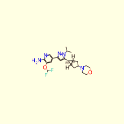 CC(C)n1nc(-c2cnc(N)c(OC(F)F)c2)cc1[C@H]1[C@@H]2CC(N3CCOCC3)C[C@@H]21